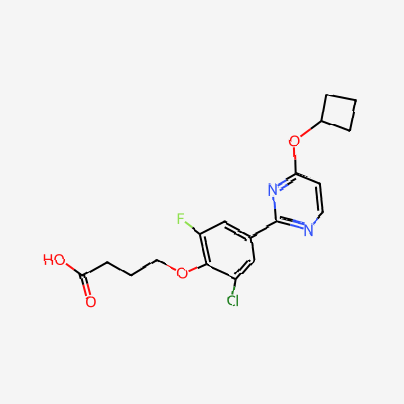 O=C(O)CCCOc1c(F)cc(-c2nccc(OC3CCC3)n2)cc1Cl